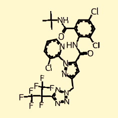 CC(C)(C)NC(=O)c1cc(Cl)cc(Cl)c1NC(=O)c1cc(Cn2nnc(C(F)(C(F)(F)F)C(F)(F)F)n2)nn1-c1ncccc1Cl